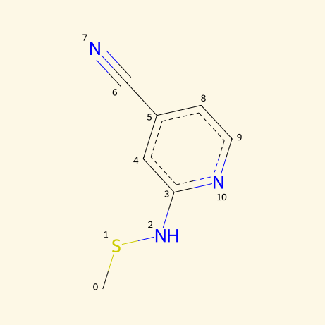 CSNc1cc(C#N)ccn1